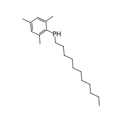 CCCCCCCCCCCPc1c(C)cc(C)cc1C